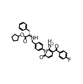 Nc1c(C(=O)c2ccc(F)cc2)ccc(=O)n1-c1ccc(CN[C@@H](Cc2ccccc2)C(=O)OC2CCCC2)cc1